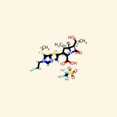 CSc1c2sc(C3=C(C(=O)O)N4C(=O)[C@H]([C@@H](C)O)[C@H]4[C@H]3C)c[n+]2cn1CCF.O=S(=O)([O-])C(F)(F)F